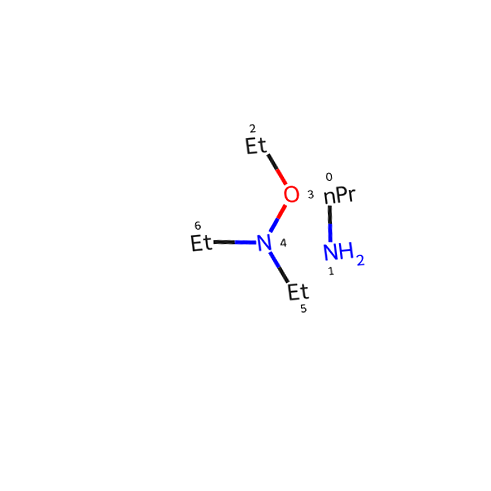 CCCN.CCON(CC)CC